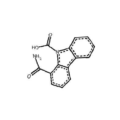 NC(=O)c1cccc2c3ccccc3n(C(=O)O)c12